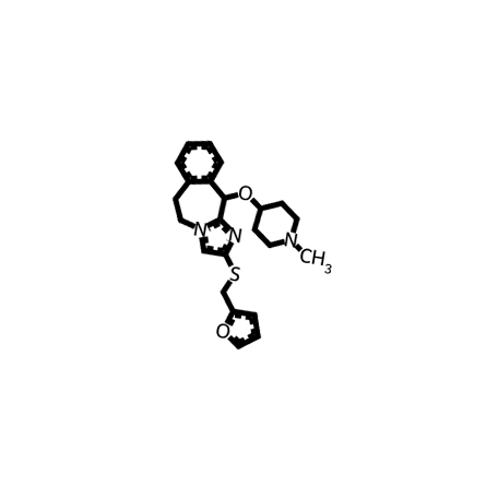 CN1CCC(OC2c3ccccc3CCn3cc(SCc4ccco4)nc32)CC1